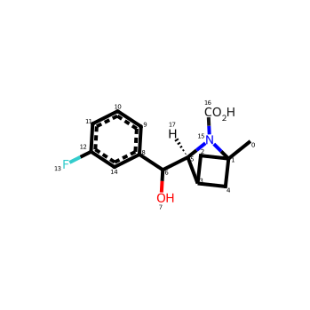 CC12CC(C1)[C@@H](C(O)c1cccc(F)c1)N2C(=O)O